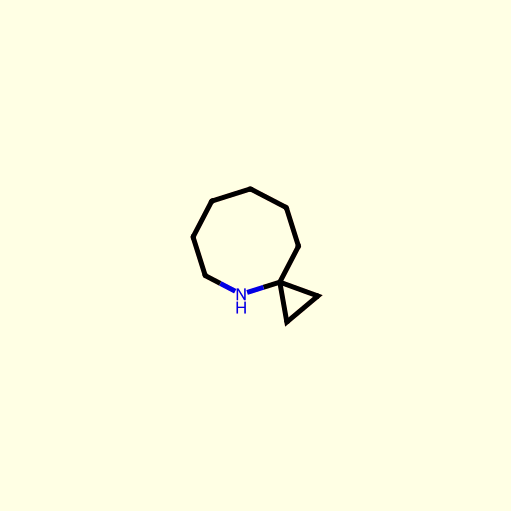 C1CCCC2(CC2)NCC1